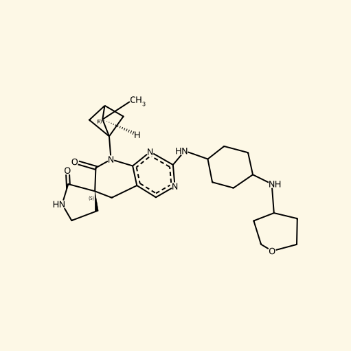 C[C@@H]1C2CC1(N1C(=O)[C@]3(CCNC3=O)Cc3cnc(NC4CCC(NC5CCOCC5)CC4)nc31)C2